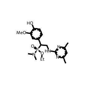 CCOP(=O)(C(CNc1nc(C)cc(C)n1)c1ccc(O)c(OC)c1)N(C)C